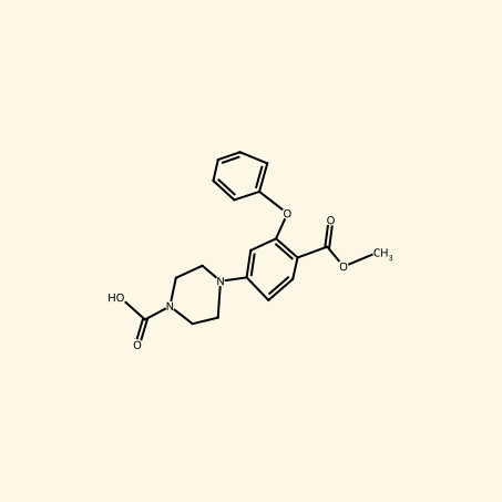 COC(=O)c1ccc(N2CCN(C(=O)O)CC2)cc1Oc1ccccc1